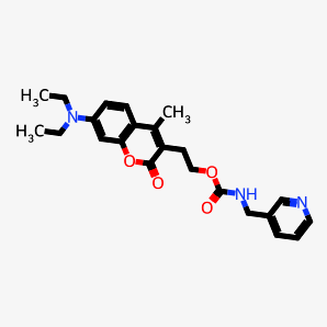 CCN(CC)c1ccc2c(C)c(CCOC(=O)NCc3cccnc3)c(=O)oc2c1